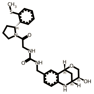 CSc1ccccc1[C@H]1CCCN1C(=O)CNC(=O)NCc1ccc2c(c1)[C@H]1C[C@@H](N2)[C@H](O)CO1